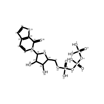 O=P(O)(O)OP(=O)(O)OP(=O)(O)OCC1OC(n2ccc3ccsc3c2=S)C(O)C1O